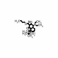 CCCCOc1noc2c1C(=O)[C@@]1(O[Si](C)(C)C(C)(C)C)C(=O)C=CCC1[C@@H]2N(CC)CC